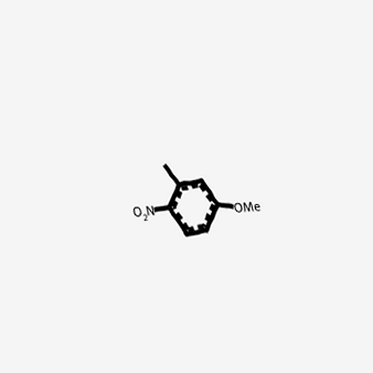 COc1[c]cc([N+](=O)[O-])c(C)c1